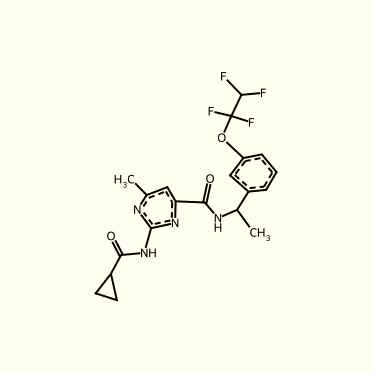 Cc1cc(C(=O)NC(C)c2cccc(OC(F)(F)C(F)F)c2)nc(NC(=O)C2CC2)n1